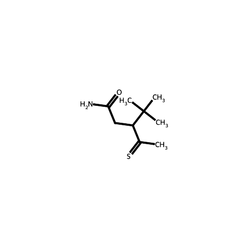 CC(=S)C(CC(N)=O)C(C)(C)C